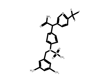 Cc1cc(C)cc(CN(c2ccc(C(C(N)=O)c3ccc(C(F)(F)F)nc3)cc2)S(C)(=O)=O)c1